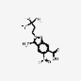 Cc1c2cc([N+](=O)[O-])c(C(=O)O)cc2nn1CCC(C)(C)O